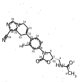 CC(=O)NC[C@H]1CN(c2ccc(C3=CCn4cnc(C#N)c4C3)c(F)c2)C(=O)O1